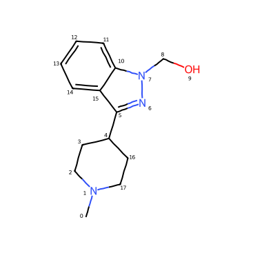 CN1CCC(c2nn(CO)c3ccccc23)CC1